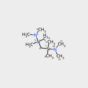 CN(C)[Si](C)(C)C[Si](C)(C)N(C)C